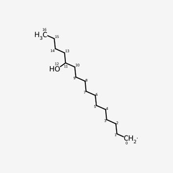 [CH2]CCCCCCCCCCC(O)CCCC